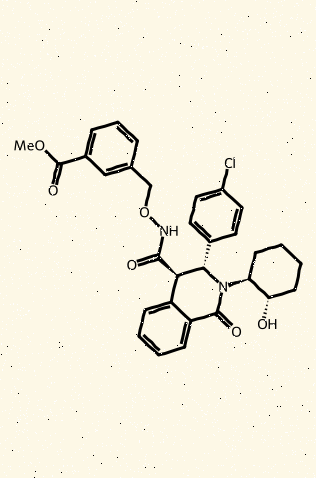 COC(=O)c1cccc(CONC(=O)[C@@H]2c3ccccc3C(=O)N([C@H]3CCCC[C@@H]3O)[C@H]2c2ccc(Cl)cc2)c1